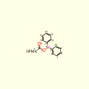 CCCCCCC(=O)O[I+](c1ccccc1)c1ccccc1